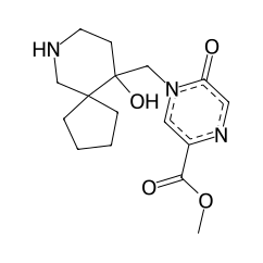 COC(=O)c1cn(CC2(O)CCNCC23CCCC3)c(=O)cn1